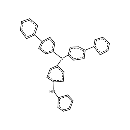 c1ccc(Nc2ccc(N(c3ccc(-c4ccccc4)cc3)c3ccc(-c4ccccc4)cc3)cc2)cc1